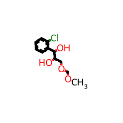 COCOCC(O)C(O)c1ccccc1Cl